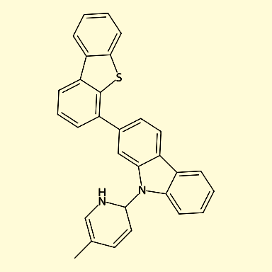 CC1=CNC(n2c3ccccc3c3ccc(-c4cccc5c4sc4ccccc45)cc32)C=C1